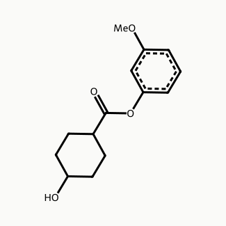 COc1cccc(OC(=O)C2CCC(O)CC2)c1